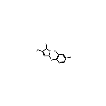 CC1=CC(Oc2ccc(F)cc2Br)OC1=O